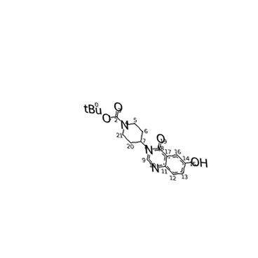 CC(C)(C)OC(=O)N1CCC(n2cnc3ccc(O)cc3c2=O)CC1